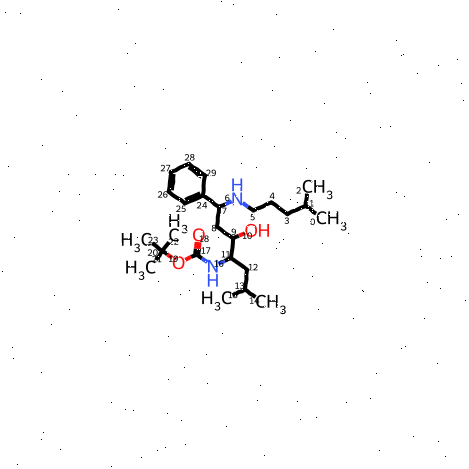 CC(C)CCCNC(CC(O)C(CC(C)C)NC(=O)OC(C)(C)C)c1ccccc1